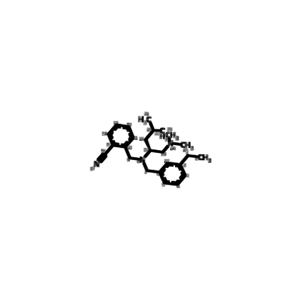 CCc1cccc(CN(Cc2ccccc2C#N)[C@@H](CC(C)C)CN(C)C)c1